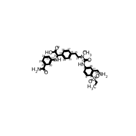 CCS(=O)(=O)c1ccc(NC(=O)N(C)CCc2ccc(C(Nc3cccc(C(N)=O)c3)C(=O)O)cc2)cc1CN